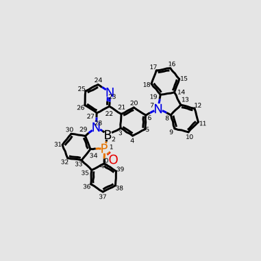 O=P12B3c4ccc(-n5c6ccccc6c6ccccc65)cc4-c4ncccc4N3c3cccc(c31)-c1ccccc12